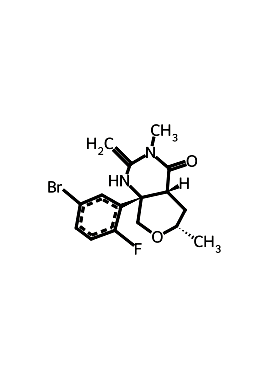 C=C1N[C@@]2(c3cc(Br)ccc3F)CO[C@@H](C)C[C@H]2C(=O)N1C